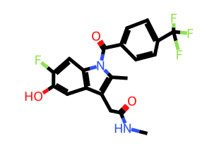 CNC(=O)Cc1c(C)n(C(=O)c2ccc(C(F)(F)F)cc2)c2cc(F)c(O)cc12